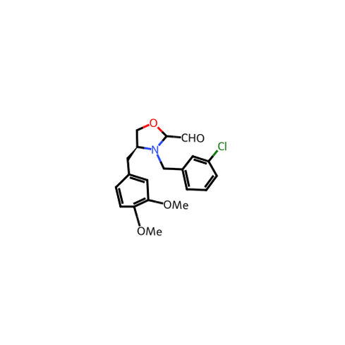 COc1ccc(C[C@H]2COC(C=O)N2Cc2cccc(Cl)c2)cc1OC